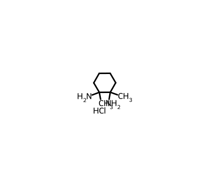 CC1(N)CCCCC1(C)N.Cl